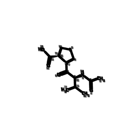 CC(=O)N[C@H](C(=O)N1CSC[C@H]1C(=O)O)C(C)C